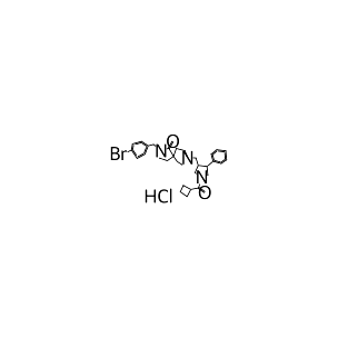 Cl.O=C(C1CCC1)N1CC(CN2CCC3(CC2)CCN(Cc2ccc(Br)cc2)C3=O)C(c2ccccc2)C1